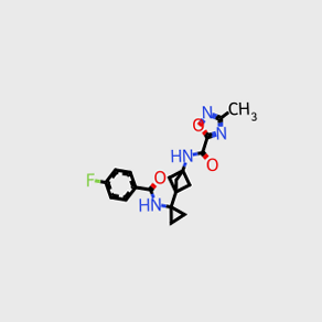 Cc1noc(C(=O)NC23CC(C4(NC(=O)c5ccc(F)cc5)CC4)(C2)C3)n1